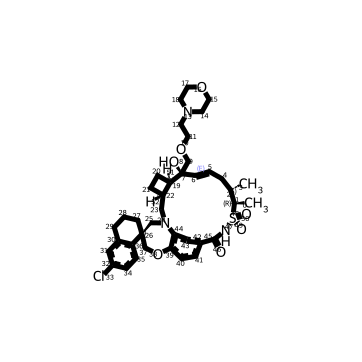 C[C@@H]1[C@@H](C)C/C=C/[C@@](O)(COCCN2CCOCC2)[C@@H]2CC[C@H]2CN2C[C@@]3(CCCc4cc(Cl)ccc43)COc3ccc(cc32)C(=O)NS1(=O)=O